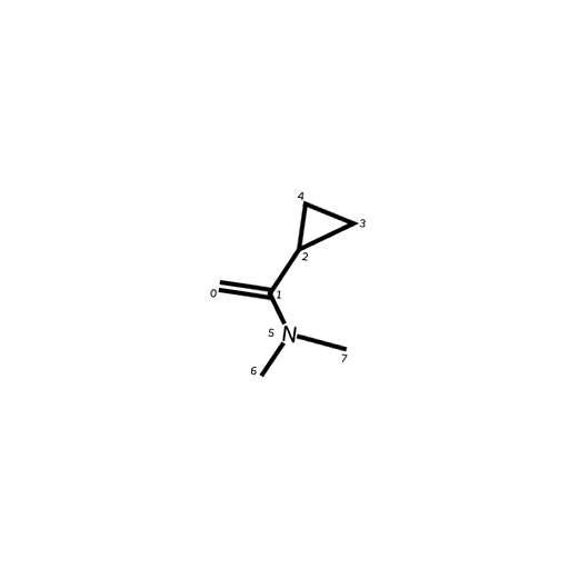 C=C(C1CC1)N(C)C